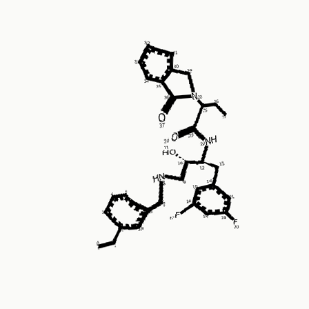 CCc1cccc(CNC[C@H](O)[C@H](Cc2cc(F)cc(F)c2)NC(=O)C(CC)N2Cc3ccccc3C2=O)c1